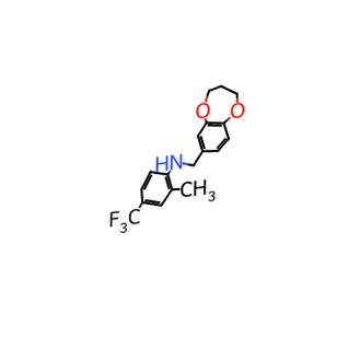 Cc1cc(C(F)(F)F)ccc1NCc1ccc2c(c1)OCCCO2